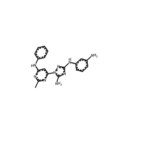 Cc1nc(Nc2ccccc2)cc(-n2nc(Nc3cccc(N)c3)nc2N)n1